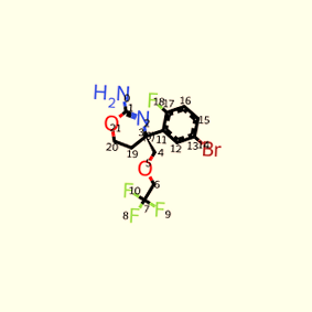 NC1=N[C@](COCC(F)(F)F)(c2cc(Br)ccc2F)CCO1